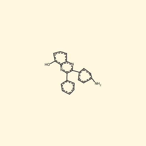 Nc1ccc(-c2nc3cccc(O)c3nc2-c2ccccc2)cc1